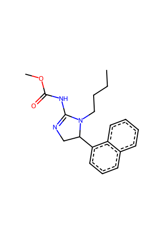 CCCCN1C(NC(=O)OC)=NCC1c1cccc2ccccc12